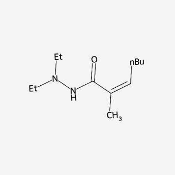 CCCCC=C(C)C(=O)NN(CC)CC